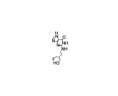 O=c1[nH]c(NCCC(CO)CF)nc2nc[nH]c12